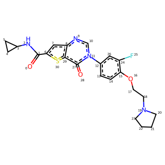 O=C(NC1CC1)c1cc2ncn(-c3ccc(OCCN4CCCC4)c(F)c3)c(=O)c2s1